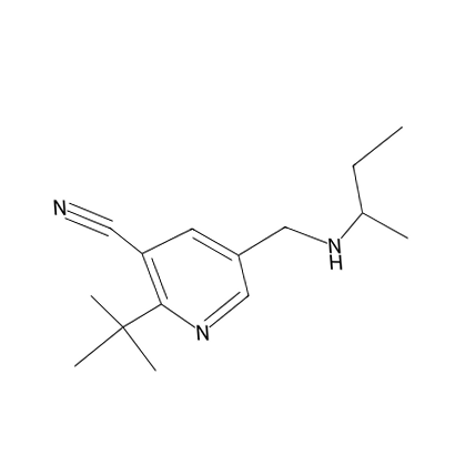 CCC(C)NCc1cnc(C(C)(C)C)c(C#N)c1